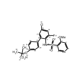 COc1ccncc1S(=O)(=O)Nc1c(F)cc(Cl)cc1-c1ccc(OC(C)(C)C(=O)O)cc1